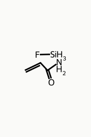 C=CC(N)=O.F[SiH3]